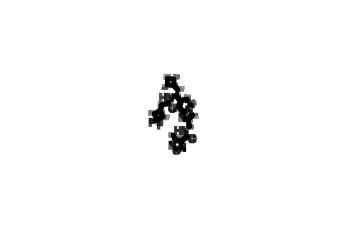 Cc1nonc1C(=O)NCc1cn2ncc([C@H](CC3CCC3)NC(=O)CC3CC(F)(F)C3)cc2n1